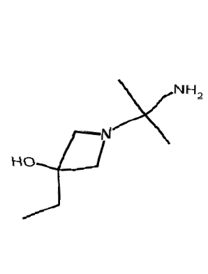 CCC1(O)CN(C(C)(C)N)C1